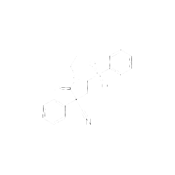 CCOC(=O)C(C#N)(CCS(=O)(=O)c1ccccc1)c1ccccc1